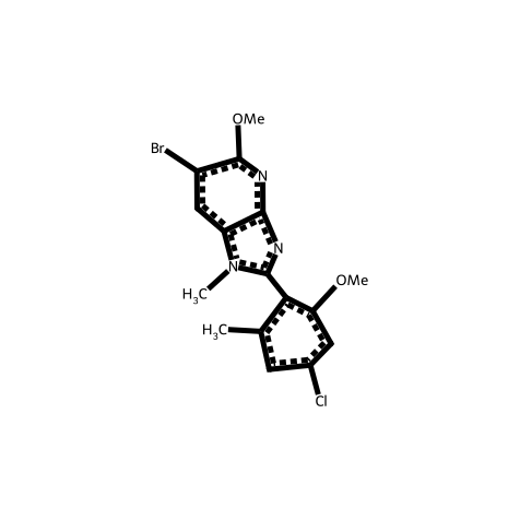 COc1cc(Cl)cc(C)c1-c1nc2nc(OC)c(Br)cc2n1C